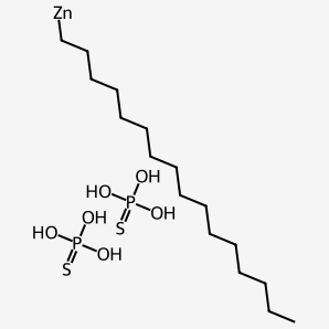 CCCCCCCCCCCCCCC[CH2][Zn].OP(O)(O)=S.OP(O)(O)=S